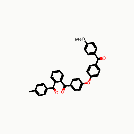 COc1ccc(C(=O)c2ccc(Oc3ccc(C(=O)c4ccccc4C(=O)c4ccc(C)cc4)cc3)cc2)cc1